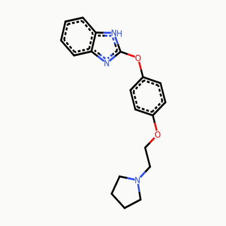 c1ccc2[nH]c(Oc3ccc(OCCN4CCCC4)cc3)nc2c1